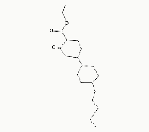 CCCCCC1CCC(C2CCC(C(=O)OCC)C(=O)C2)CC1